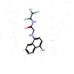 CC(=O)c1ccc(NCC(=O)NC(F)C(F)F)c2ccccc12